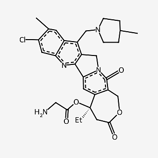 CC[C@@]1(OC(=O)CN)CC(=O)OCc2c1cc1n(c2=O)Cc2c-1nc1cc(Cl)c(C)cc1c2CN1CCC(C)CC1